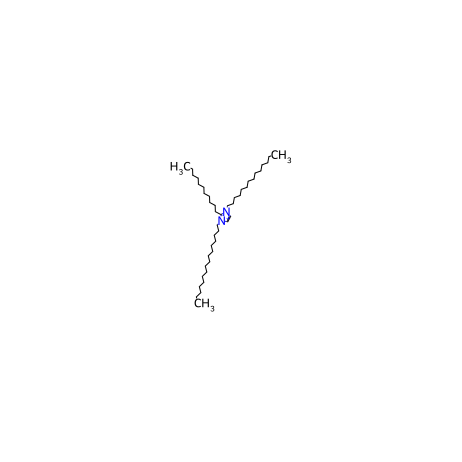 CCCCCCCCCCCCCCCC[n+]1ccn(CCCCCCCCCCCCCC)c1CCCCCCCCCCC